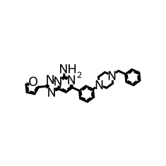 Nc1nc(-c2cccc(N3CCN(Cc4ccccc4)CC3)c2)cc2nc(-c3ccco3)nn12